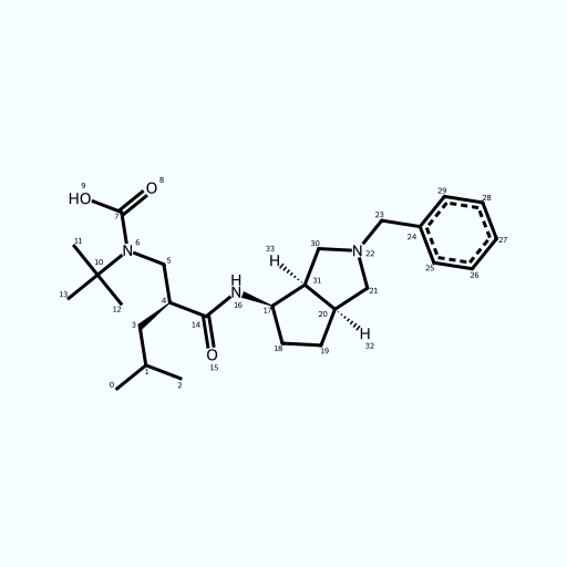 CC(C)C[C@@H](CN(C(=O)O)C(C)(C)C)C(=O)N[C@@H]1CC[C@@H]2CN(Cc3ccccc3)C[C@@H]21